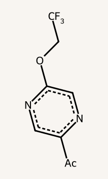 CC(=O)c1cnc(OCC(F)(F)F)cn1